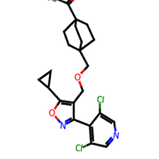 COC(=O)C12CCC(COCc3c(-c4c(Cl)cncc4Cl)noc3C3CC3)(CC1)CC2